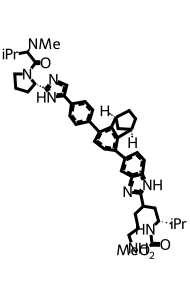 CN[C@H](C(=O)N1CCC[C@H]1c1ncc(-c2ccc(-c3ccc(-c4ccc5[nH]c(C(CCCN)C[C@@H](NC(=O)OC)C(C)C)nc5c4)c4c3[C@H]3CC[C@@H]4C3)cc2)[nH]1)C(C)C